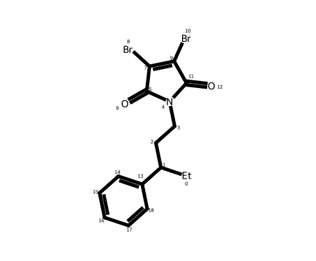 CCC(CCN1C(=O)C(Br)=C(Br)C1=O)c1ccccc1